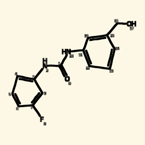 O=C(Nc1cccc(F)c1)Nc1cccc(CO)c1